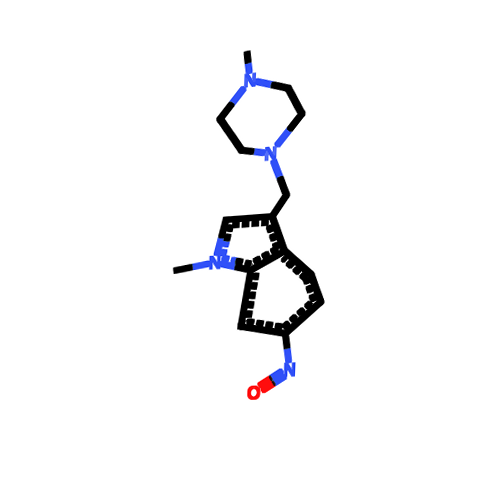 CN1CCN(Cc2cn(C)c3cc(N=O)ccc23)CC1